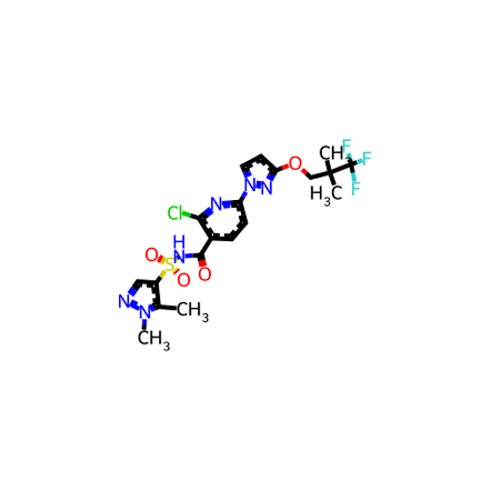 Cc1c(S(=O)(=O)NC(=O)c2ccc(-n3ccc(OCC(C)(C)C(F)(F)F)n3)nc2Cl)cnn1C